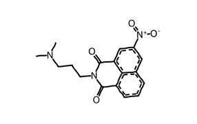 CN(C)CCCN1C(=O)c2cccc3cc([N+](=O)[O-])cc(c23)C1=O